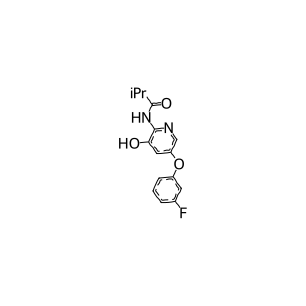 CC(C)C(=O)Nc1ncc(Oc2cccc(F)c2)cc1O